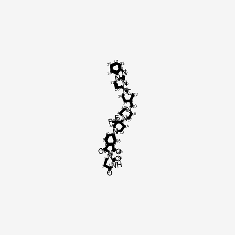 O=C1CCN(N2C(=O)c3ccc(N4CCC(N5CCN(CC6CCN(c7ccn8c(n7)nc7ccccc78)CC6)CC5)C(F)(F)C4)cc3C2=O)C(=O)N1